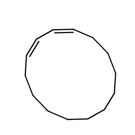 [CH]1CCC=CC=CCCCCCCC1